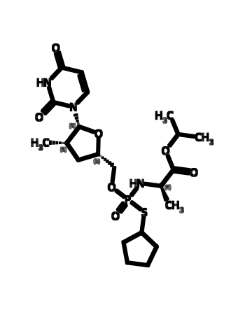 CC(C)OC(=O)[C@@H](C)NP(=O)(OC[C@@H]1C[C@H](C)[C@H](n2ccc(=O)[nH]c2=O)O1)SC1CCCC1